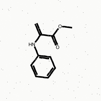 C=C(Nc1ccccc1)C(=O)OC